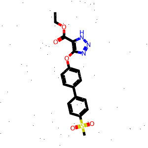 CCOC(=O)c1[nH]nnc1Oc1ccc(-c2ccc(S(C)(=O)=O)cc2)cc1